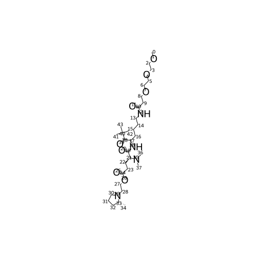 COCCOCCOCCC(=O)NCCCCC(NC(=O)[C@H](CCC(=O)OCCN1CCC[C@H]1C)N(C)C)C(=O)C(C)(C)C